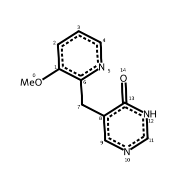 COc1cccnc1Cc1cnc[nH]c1=O